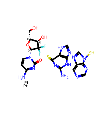 Nc1ccn([C@@H]2O[C@H](CO)[C@@H](O)C2(F)F)c(=O)n1.Nc1nc(=S)c2[nH]cnc2[nH]1.Sn1cnc2cncnc21.[Pt].[Pt]